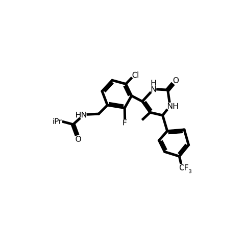 CC1=C(c2c(Cl)ccc(CNC(=O)C(C)C)c2F)NC(=O)NC1c1ccc(C(F)(F)F)cc1